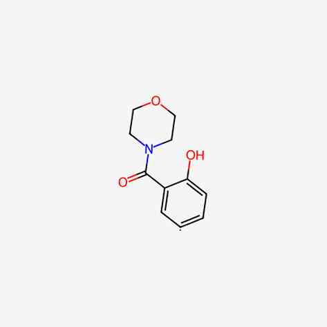 O=C(c1c[c]ccc1O)N1CCOCC1